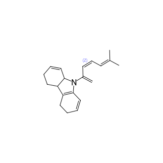 C=C(/C=C\C=C(C)C)N1C2=C(CCC=C2)C2CCC=CC21